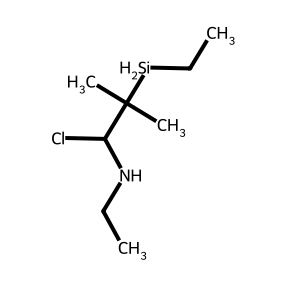 CCNC(Cl)C(C)(C)[SiH2]CC